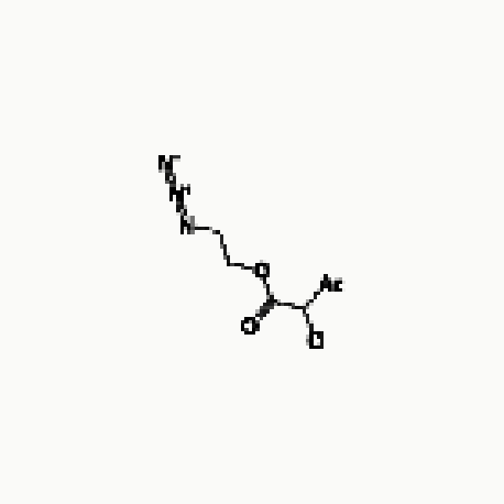 CC(=O)C(Cl)C(=O)OCCN=[N+]=[N-]